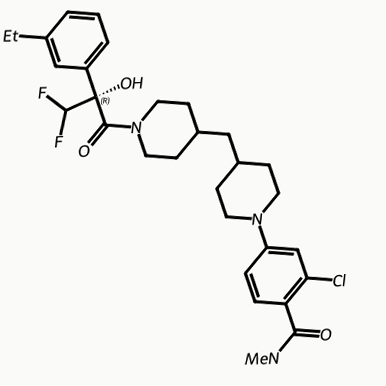 CCc1cccc([C@@](O)(C(=O)N2CCC(CC3CCN(c4ccc(C(=O)NC)c(Cl)c4)CC3)CC2)C(F)F)c1